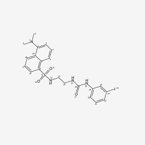 CN(C)c1cccc2c(S(=O)(=O)NCCNC(=O)Nc3cccc(I)c3)cccc12